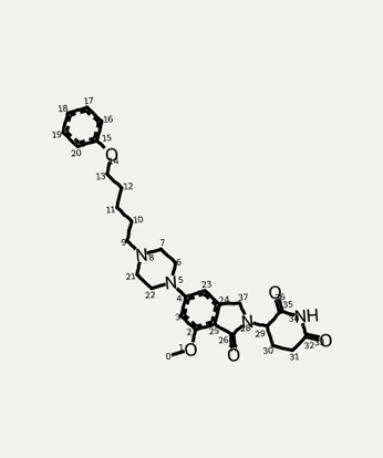 COc1cc(N2CCN(CCCCCOc3ccccc3)CC2)cc2c1C(=O)N(C1CCC(=O)NC1=O)C2